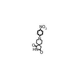 O=C1CC2(CCN(c3ccc([N+](=O)[O-])cc3)CC2)C(=O)N1